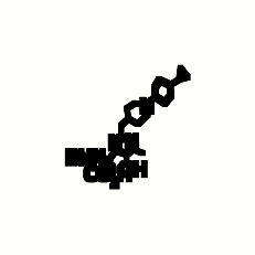 CCC(NC(=O)c1nc(CC2CCN(c3ccc(C4CC4)cc3)CC2)nc(C)c1O)C(=O)O